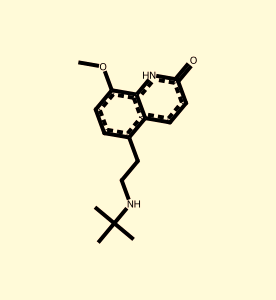 COc1ccc(CCNC(C)(C)C)c2ccc(=O)[nH]c12